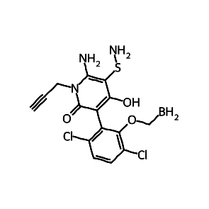 BCOc1c(Cl)ccc(Cl)c1-c1c(O)c(SN)c(N)n(CC#C)c1=O